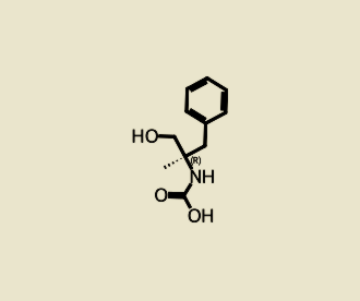 C[C@](CO)(Cc1ccccc1)NC(=O)O